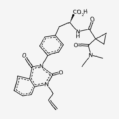 C=CCn1c(=O)n(-c2ccc(C[C@H](NC(=O)C3(C(=O)N(C)C)CC3)C(=O)O)cc2)c(=O)c2ccccc21